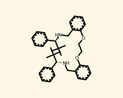 CC(C)(C)[C@H](NCc1ccccc1OCCOc1ccccc1CN[C@H](c1ccccc1)C(C)(C)C)c1ccccc1